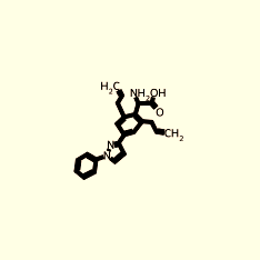 C=CCc1cc(-c2ccn(-c3ccccc3)n2)cc(CC=C)c1C(N)C(=O)O